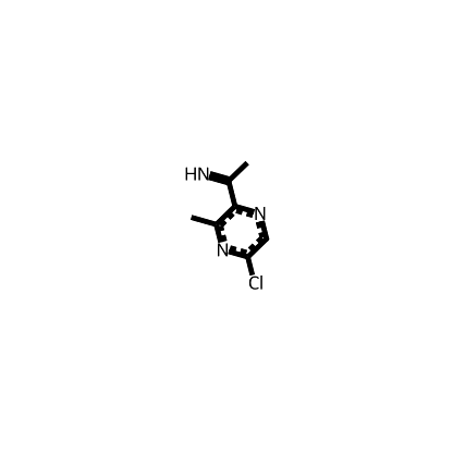 CC(=N)c1ncc(Cl)nc1C